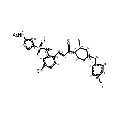 CC(=O)Nc1ncc(S(=O)(=O)Nc2cc(Cl)ccc2/C=C/C(=O)N2CCN(Cc3ccc(F)cc3)CC2C)s1